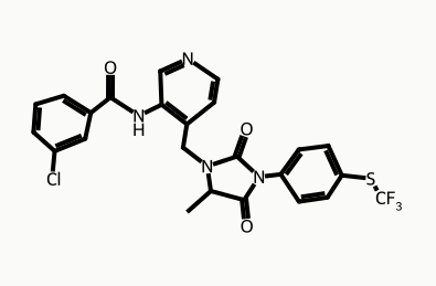 CC1C(=O)N(c2ccc(SC(F)(F)F)cc2)C(=O)N1Cc1ccncc1NC(=O)c1cccc(Cl)c1